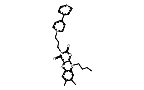 CCCCn1c2nc(=O)n(CCC[n+]3ccc(-c4ccncc4)cc3)c(=O)c-2nc2cc(C)c(C)cc21